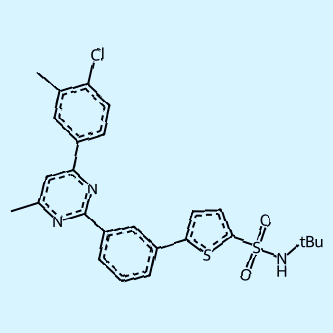 Cc1cc(-c2ccc(Cl)c(C)c2)nc(-c2cccc(-c3ccc(S(=O)(=O)NC(C)(C)C)s3)c2)n1